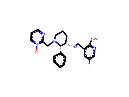 COc1ncc(I)cc1CN[C@H]1CCCN(Cc2nccc[n+]2[O-])[C@H]1c1ccccc1